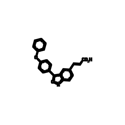 O=C(O)/C=C/c1ccc2noc(-c3ccc(Oc4ccccc4)cc3)c2c1